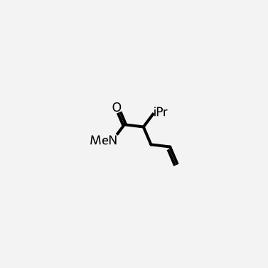 C=CCC(C(=O)NC)C(C)C